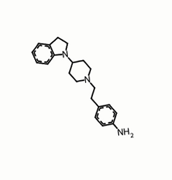 Nc1ccc(CCN2CCC(N3CCc4ccccc43)CC2)cc1